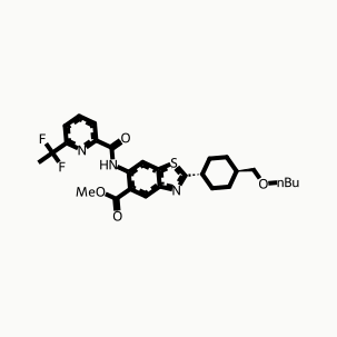 CCCCOC[C@H]1CC[C@H](c2nc3cc(C(=O)OC)c(NC(=O)c4cccc(C(C)(F)F)n4)cc3s2)CC1